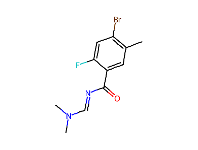 Cc1cc(C(=O)N=CN(C)C)c(F)cc1Br